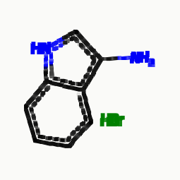 Br.Nc1c[nH]c2ccccc12